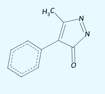 CC1=C(c2ccccc2)C(=O)N=N1